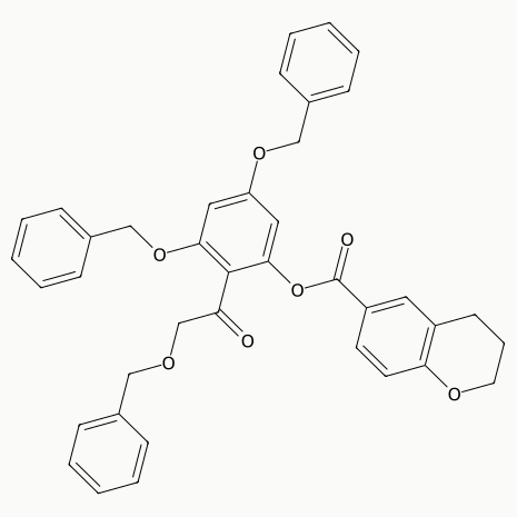 O=C(Oc1cc(OCc2ccccc2)cc(OCc2ccccc2)c1C(=O)COCc1ccccc1)c1ccc2c(c1)CCCO2